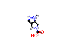 Cn1ncc2c1CN(C(=O)O)C2